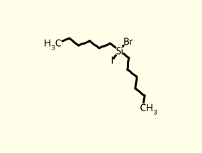 CCCCCC[Si](Br)(I)CCCCCC